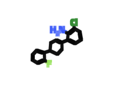 Nc1c(Cl)cccc1C1=CCC(c2ccccc2F)CC1